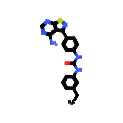 CCc1cccc(NC(=O)Nc2ccc(-c3nsc4ncnc(N)c34)cc2)c1